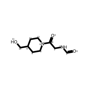 O=CNCC(=O)N1CCC(CO)CC1